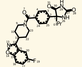 CC(C)C1(c2ccc(C(=O)N3CCC(c4noc5ccc(F)cc45)CC3)cc2)NC(=O)NC1=O